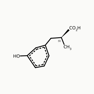 C[C@@H](Cc1cccc(O)c1)C(=O)O